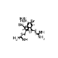 Br.Br.N=C(N)SCC1=C2OC(CSC(=N)N)=C3C=C(Br)C=CC32CC(Br)=C1